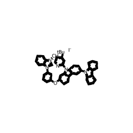 C[n+]1cn(-c2cccc(Oc3ccc4c5cc(-n6c7ccccc7c7ccccc76)ccc5n(-c5cc(C(C)(C)C)ccn5)c4c3)c2)c2ccccc21.[I-]